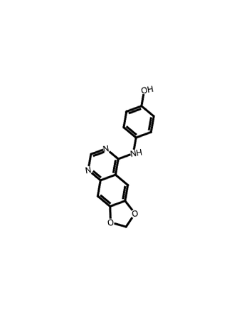 Oc1ccc(Nc2ncnc3cc4c(cc23)OCO4)cc1